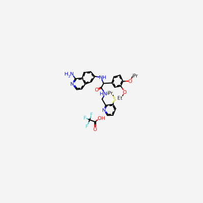 CCOc1cc(C(Nc2ccc3c(N)nccc3c2)C(=O)NCc2ncccc2SC(C)C)ccc1OC(C)C.O=C(O)C(F)(F)F